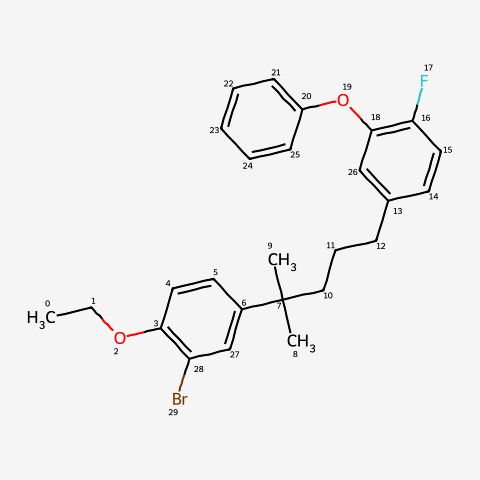 CCOc1ccc(C(C)(C)CCCc2ccc(F)c(Oc3ccccc3)c2)cc1Br